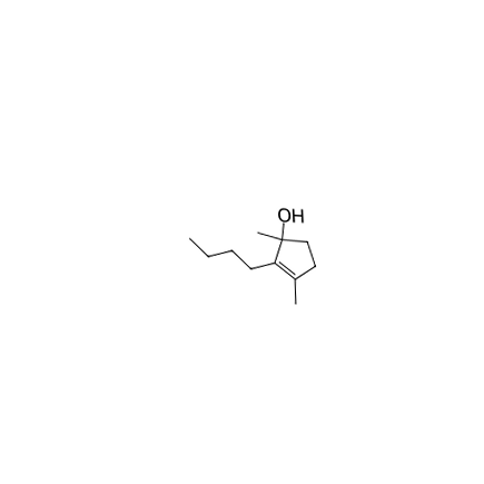 CCCCC1=C(C)CCC1(C)O